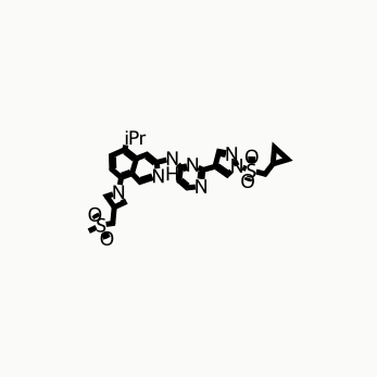 CC(C)c1ccc(N2CC(CS(C)(=O)=O)C2)c2cnc(Nc3ccnc(-c4cnn(S(=O)(=O)CC5CC5)c4)n3)cc12